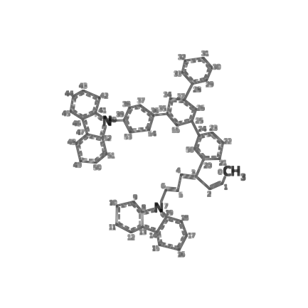 C\C=C/C(=C\C=C\n1c2ccccc2c2ccccc21)c1cccc(-c2cc(-c3ccccc3)cc(-c3ccc(-n4c5ccccc5c5ccccc54)cc3)c2)c1